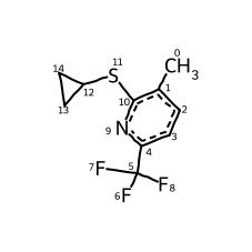 Cc1ccc(C(F)(F)F)nc1SC1CC1